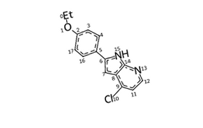 CCOc1ccc(-c2cc3c(Cl)ccnc3[nH]2)cc1